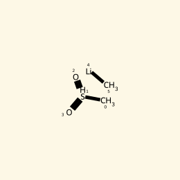 C[SH](=O)=O.[Li][CH3]